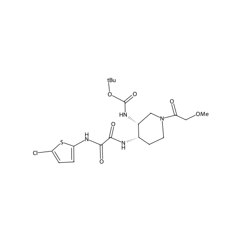 COCC(=O)N1CC[C@H](NC(=O)C(=O)Nc2ccc(Cl)s2)[C@H](NC(=O)OC(C)(C)C)C1